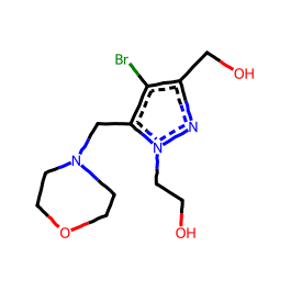 OCCn1nc(CO)c(Br)c1CN1CCOCC1